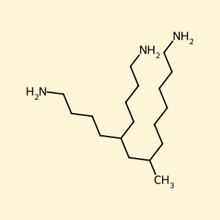 CC(CCCCCCN)CC(CCCCN)CCCCN